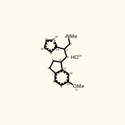 CNCC(CC1CCc2ccc(OC)cc21)c1cccs1.Cl